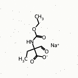 CCOC(=O)NC(C=O)(CC)C(=O)[O-].[Na+]